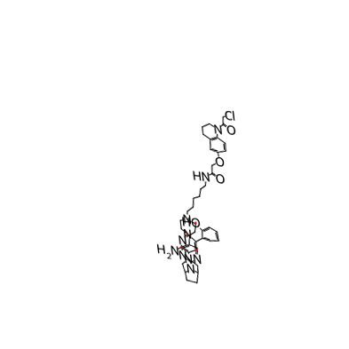 Nc1nnc(-c2ccccc2O)cc1N1CC2CCC(C1)N2c1ncc(C2CCN(CCCCCCNC(=O)COc3ccc4c(c3)CCCN4C(=O)CCl)CC2)cn1